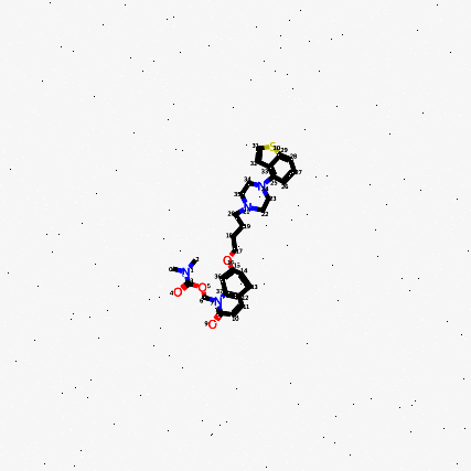 CN(C)C(=O)OCn1c(=O)ccc2ccc(OCCCCN3CCN(c4cccc5sccc45)CC3)cc21